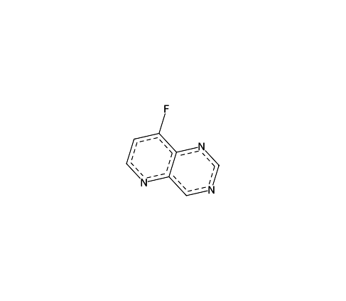 Fc1ccnc2cncnc12